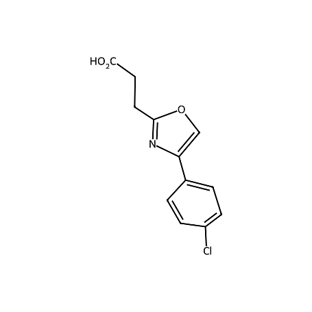 O=C(O)CCc1nc(-c2ccc(Cl)cc2)co1